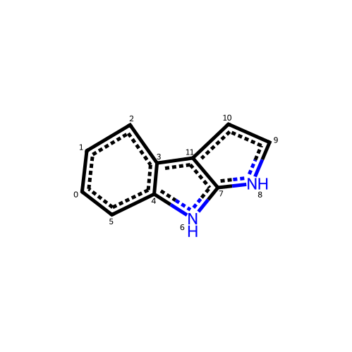 c1ccc2c(c1)[nH]c1[nH]ccc12